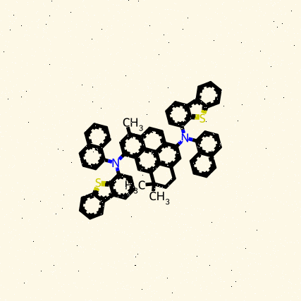 Cc1cc(N(c2cccc3ccccc23)c2cccc3c2sc2ccccc23)c2cc3c4c(cc(N(c5cccc6ccccc56)c5cccc6c5sc5ccccc56)c5ccc1c2c54)CCC3(C)C